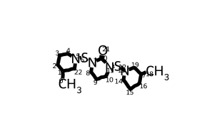 CC1CCCN(SN2CCCN(SN3CCCC(C)C3)C2=O)C1